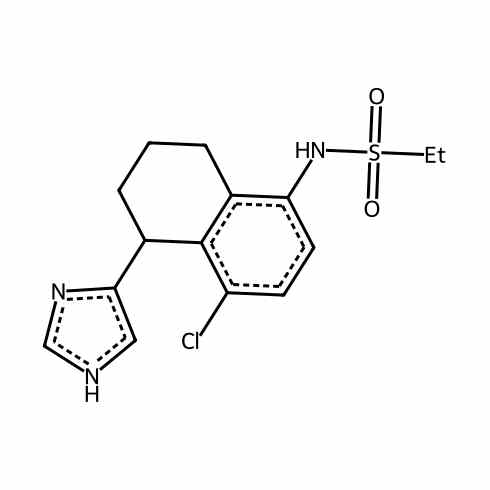 CCS(=O)(=O)Nc1ccc(Cl)c2c1CCCC2c1c[nH]cn1